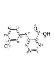 O=C(O)c1ncncc1Sc1cccc(Cl)c1